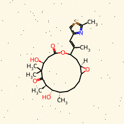 C/C(=C\c1csc(C)n1)C1C[C@H]2OC2CCC[C@H](C)[C@H](O)[C@@H](C)C(=O)C(C)(C)[C@@H](O)CC(=O)O1